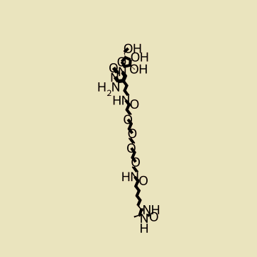 C[C@@H]1NC(=O)N[C@@H]1CCCCCC(=O)NCCOCCOCCOCCOCCC(=O)NCCCc1cn([C@@H]2O[C@H](CO)C(O)[C@@H]2O)c(=O)nc1N